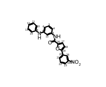 O=C(Nc1cccc(Nc2ccccc2)c1)c1ccc(-c2cccc([N+](=O)[O-])c2)o1